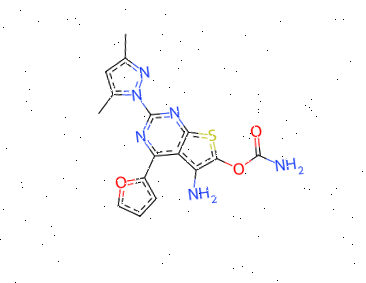 Cc1cc(C)n(-c2nc(-c3ccco3)c3c(N)c(OC(N)=O)sc3n2)n1